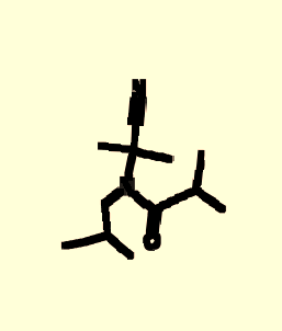 CC(C)CN(C(=O)C(C)C)C(C)(C)C#N